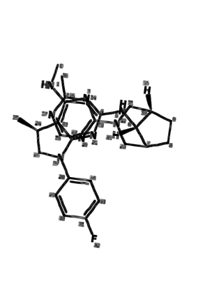 CNc1nc(N[C@H]2C3CC[C@H]2CN(c2cc(C)ncn2)C3)nc2c1[C@H](C)CN2c1ccc(F)cc1